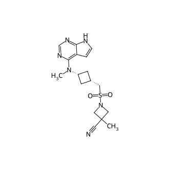 CN(c1ncnc2[nH]ccc12)[C@H]1C[C@@H](CS(=O)(=O)N2CC(C)(C#N)C2)C1